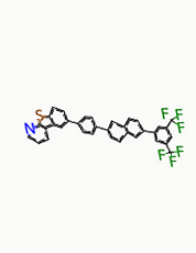 FC(F)(F)c1cc(-c2ccc3cc(-c4ccc(-c5ccc6sc7ncccc7c6c5)cc4)ccc3c2)cc(C(F)(F)F)c1